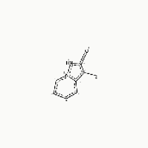 Cc1c(=O)[nH]n2ccccc12